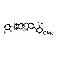 COc1ccc(-c2ccc(Cn3cc4nc(-c5cccc(F)c5F)nc-4cn3)c(N)c2)c(C(F)(F)F)c1